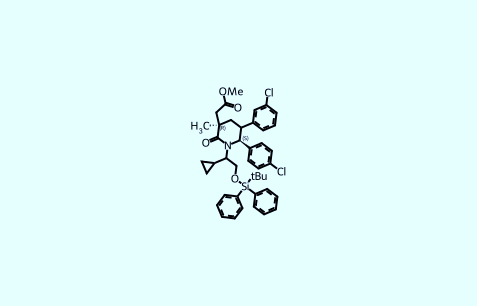 COC(=O)C[C@@]1(C)CC(c2cccc(Cl)c2)[C@@H](c2ccc(Cl)cc2)N(C(CO[Si](c2ccccc2)(c2ccccc2)C(C)(C)C)C2CC2)C1=O